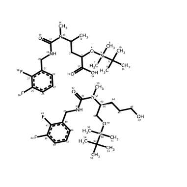 CC(CC(O[Si](C)(C)C(C)(C)C)C(=O)O)N(C)C(=O)NCc1cccc(F)c1F.CN(C(=O)NCc1cccc(F)c1F)[C@@H](CCCO)CO[Si](C)(C)C(C)(C)C